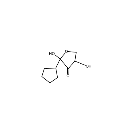 O=C1C(O)COC1(O)C1CCCC1